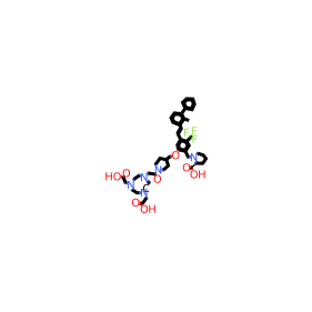 Cc1c(/C=C/c2cc(OCC3CCN(C(=O)CN4CCN(CC(=O)O)CCN(CC(=O)O)CC4)CC3)c(CN3CCCC[C@H]3C(=O)O)cc2C(F)(F)F)cccc1-c1ccccc1